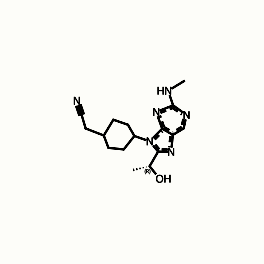 CNc1ncc2nc([C@@H](C)O)n(C3CCC(CC#N)CC3)c2n1